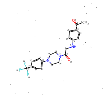 CC(=O)c1ccc(NCC(=O)N2CCN(c3ccc(C(F)(F)F)cc3)CC2)cc1